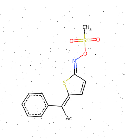 CC(=O)/C(=C1C=C/C(=N\OS(C)(=O)=O)S\1)c1ccccc1